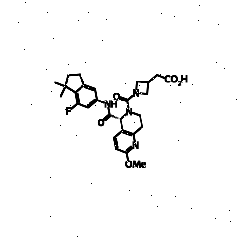 COc1ccc2c(n1)CCN(C(=O)N1CC(CC(=O)O)C1)[C@H]2C(=O)Nc1cc(F)c2c(c1)CCC2(C)C